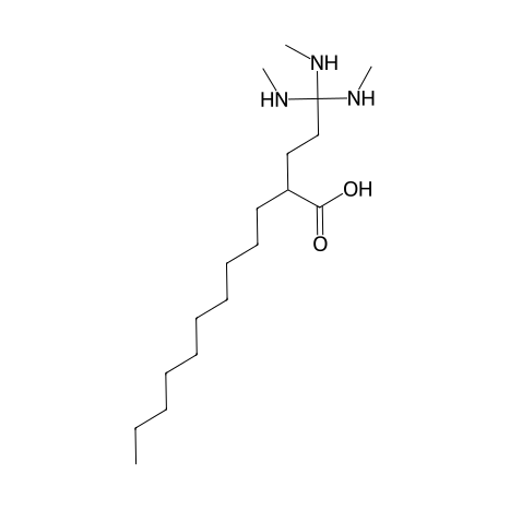 CCCCCCCCCCC(CCC(NC)(NC)NC)C(=O)O